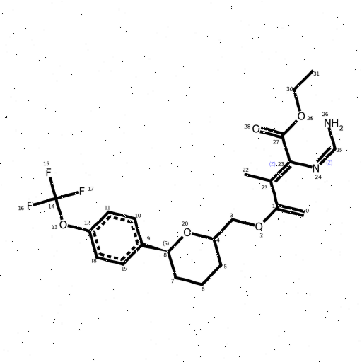 C=C(OCC1CCC[C@@H](c2ccc(OC(F)(F)F)cc2)O1)/C(C)=C(\N=C/N)C(=O)OCC